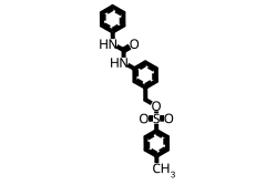 Cc1ccc(S(=O)(=O)OCc2cccc(NC(=O)Nc3ccccc3)c2)cc1